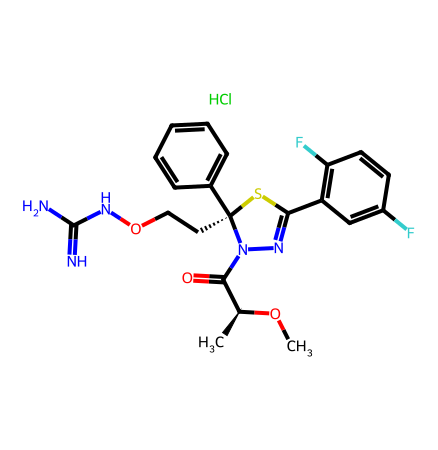 CO[C@@H](C)C(=O)N1N=C(c2cc(F)ccc2F)S[C@]1(CCONC(=N)N)c1ccccc1.Cl